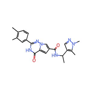 Cc1ccc(-c2nn3cc(C(=O)NC(C)c4cnn(C)c4C)cc3c(=O)[nH]2)cc1C